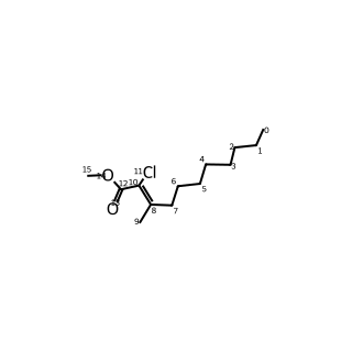 CCCCCCCCC(C)=C(Cl)C(=O)OC